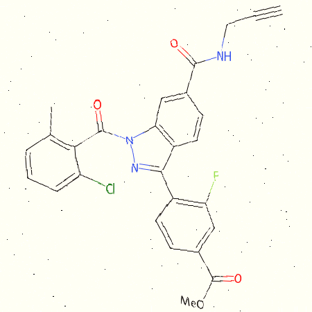 C#CCNC(=O)c1ccc2c(-c3ccc(C(=O)OC)cc3F)nn(C(=O)c3c(C)cccc3Cl)c2c1